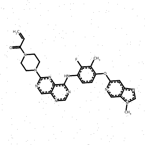 C=CC(=O)N1CCN(c2ncc3ncnc(Nc4ccc(Oc5cc6ncn(C)c6cn5)c(C)c4F)c3n2)CC1